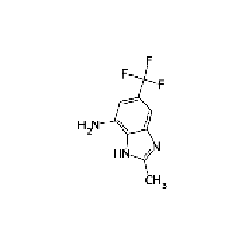 Cc1nc2cc(C(F)(F)F)cc(N)c2[nH]1